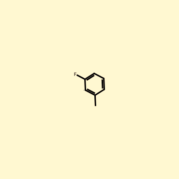 Cc1[c]c(F)ccc1